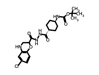 CC(C)(C)OC(=O)N[C@H]1CC[C@H](C(=O)NNC(=O)C2CNc3cc(Cl)ccc3O2)CC1